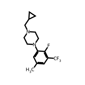 Cc1cc(N2CCN(CC3CC3)CC2)c(F)c(C(F)(F)F)c1